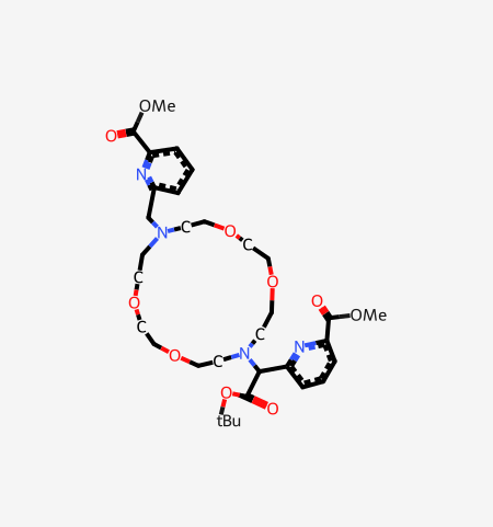 COC(=O)c1cccc(CN2CCOCCOCCN(C(C(=O)OC(C)(C)C)c3cccc(C(=O)OC)n3)CCOCCOCC2)n1